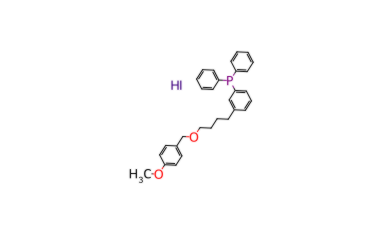 COc1ccc(COCCCCc2cccc(P(c3ccccc3)c3ccccc3)c2)cc1.I